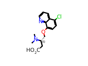 CN(C)[C@H](COc1ccc(Cl)c2cccnc12)CC(=O)O